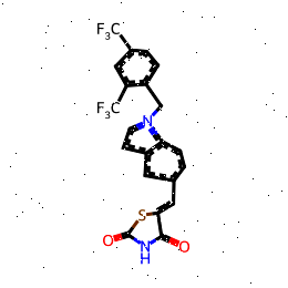 O=C1NC(=O)C(=Cc2ccc3c(ccn3Cc3ccc(C(F)(F)F)cc3C(F)(F)F)c2)S1